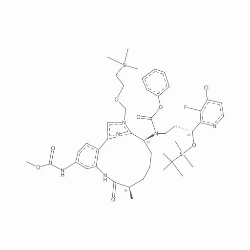 COC(=O)Nc1ccc2c(c1)NC(=O)[C@H](C)CCC[C@H](N(CC[C@@H](O[Si](C)(C)C(C)(C)C)c1nccc(Cl)c1F)C(=O)Oc1ccccc1)c1nc-2cn1COCC[Si](C)(C)C